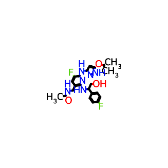 CC(=O)NCc1cc(F)c(Nc2cc(OC(C)C)[nH]n2)nc1NC(CO)c1ccc(F)cc1